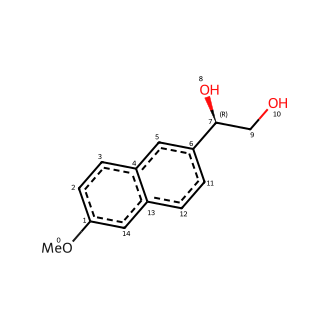 COc1ccc2cc([C@@H](O)CO)ccc2c1